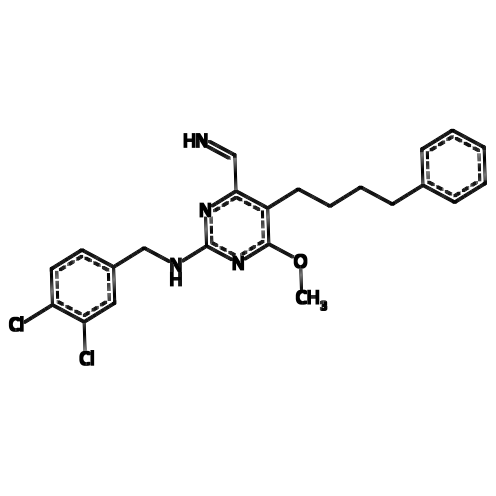 COc1nc(NCc2ccc(Cl)c(Cl)c2)nc(C=N)c1CCCCc1ccccc1